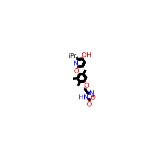 Cc1cc(OCc2noc(=O)[nH]2)c(C)c(C)c1Oc1ccc(O)c(C(C)C)n1